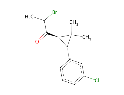 CC(Br)C(=O)[C@@H]1[C@@H](c2cccc(Cl)c2)C1(C)C